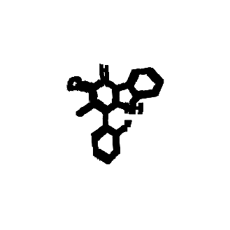 Cc1c(-c2ccccc2F)c2[nH]c3ccccc3c2[nH]c1=O